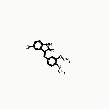 COc1ccc(/C=C2\C(=O)Nc3ccc(Cl)cc32)cc1OC